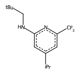 CC(C)c1cc(NCC(C)(C)C)nc(C(F)(F)F)c1